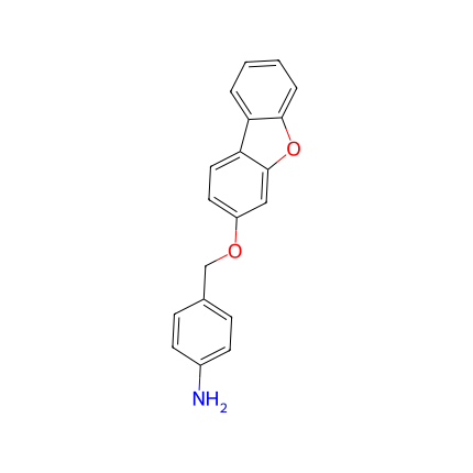 Nc1ccc(COc2ccc3c(c2)oc2ccccc23)cc1